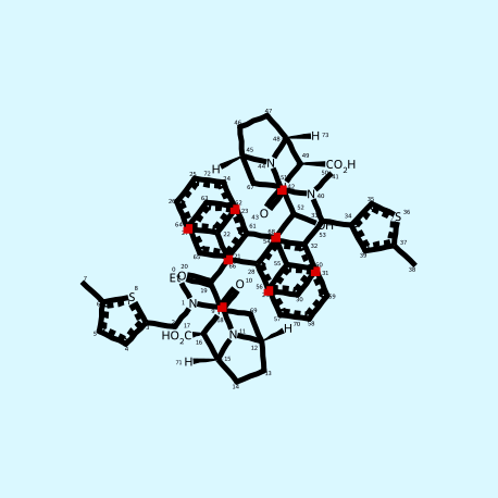 CCN(Cc1ccc(C)s1)C(=O)N1[C@H]2CC[C@@H]1[C@@H](C(=O)O)N(C(=O)C(c1ccccc1)c1cccc(C(c3csc(C)c3)N(C)C(=O)N3[C@H]4CC[C@@H]3[C@@H](C(=O)O)N(C(O)C(c3ccccc3)c3ccccc3)C4)c1)C2